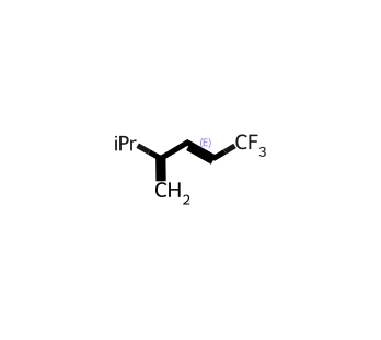 C=C(/C=C/C(F)(F)F)C(C)C